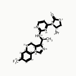 CC(C)[C@H]1COC(=O)N1c1ccnc(N[C@@H](C)c2ncn3c2CSc2cc(C(F)(F)F)ccc2-3)n1